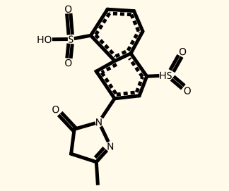 CC1=NN(c2cc([SH](=O)=O)c3cccc(S(=O)(=O)O)c3c2)C(=O)C1